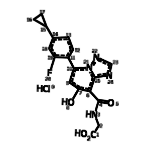 Cl.O=C(O)CNC(=O)c1c(O)cc(-c2ccc(C3CC3)cc2F)n2ncnc12